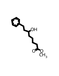 COC(=O)CCCCC(O)CCc1ccccc1